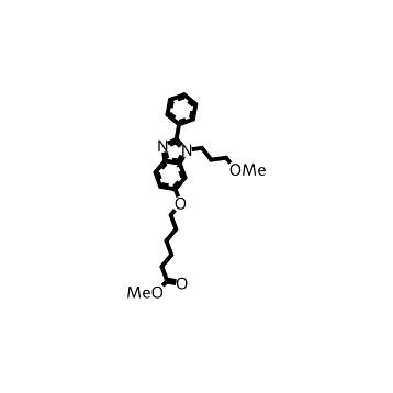 COCCCn1c(-c2ccccc2)nc2ccc(OCCCCCC(=O)OC)cc21